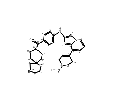 CCOC(=O)N1CC=C(c2cccn3nc(Nc4ccc(C(=O)N5CCC6(CC5)CNCCO6)cc4)nc23)CC1